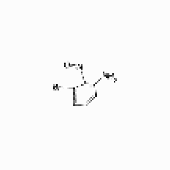 Nc1cccc(Br)c1N=O